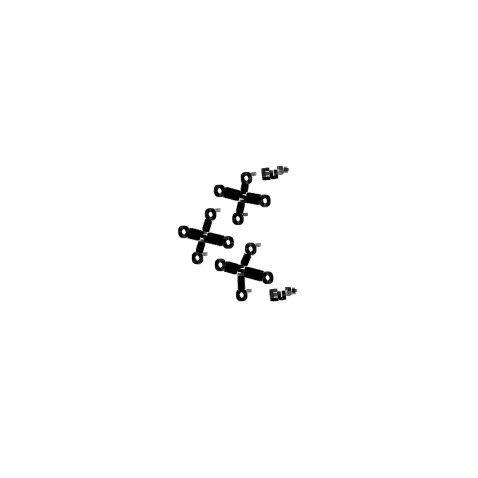 O=S(=O)([O-])[O-].O=S(=O)([O-])[O-].O=S(=O)([O-])[O-].[Eu+3].[Eu+3]